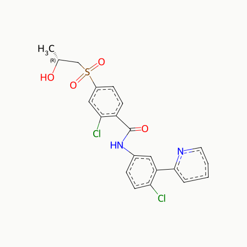 C[C@@H](O)CS(=O)(=O)c1ccc(C(=O)Nc2ccc(Cl)c(-c3ccccn3)c2)c(Cl)c1